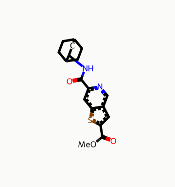 COC(=O)c1cc2cnc(C(=O)NC3CC4CCC3CC4)cc2s1